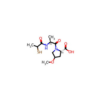 COC1C[C@@H](C(=O)O)N(C(=O)[C@H](C)NC(=O)C(C)S)C1